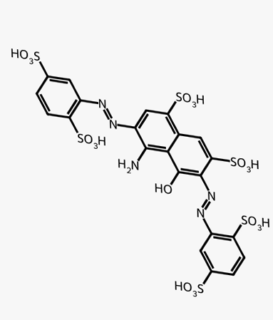 Nc1c(N=Nc2cc(S(=O)(=O)O)ccc2S(=O)(=O)O)cc(S(=O)(=O)O)c2cc(S(=O)(=O)O)c(N=Nc3cc(S(=O)(=O)O)ccc3S(=O)(=O)O)c(O)c12